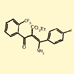 CCOC(=O)C(C(=O)c1ccccc1C(F)(F)F)=C(N)c1ccc(I)cc1